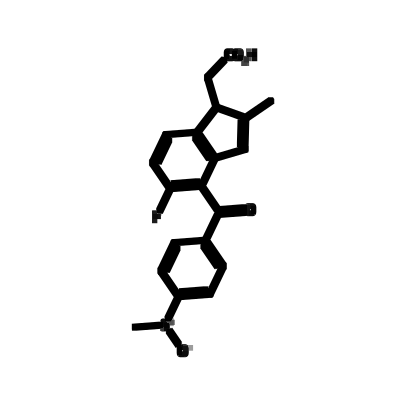 CC1=Cc2c(ccc(F)c2C(=O)c2ccc([S+](C)[O-])cc2)C1CC(=O)O